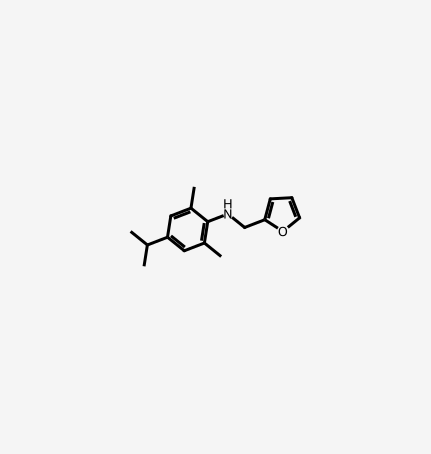 Cc1cc(C(C)C)cc(C)c1NCc1ccco1